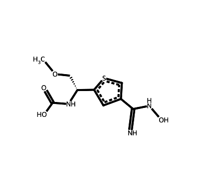 COC[C@@H](NC(=O)O)c1cc(C(=N)NO)cs1